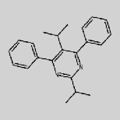 CC(C)c1nc(-c2ccccc2)c(C(C)C)c(-c2ccccc2)n1